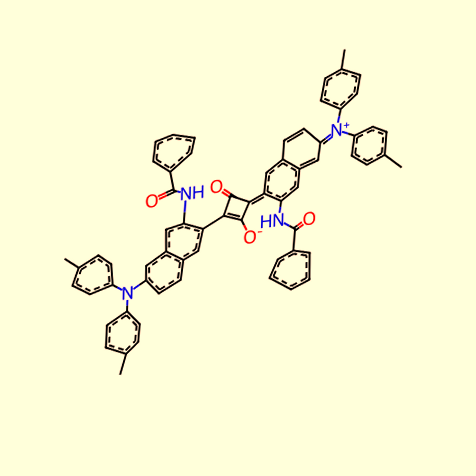 Cc1ccc(N(c2ccc(C)cc2)c2ccc3cc(C4=C([O-])/C(=c5/cc6c(cc5NC(=O)c5ccccc5)=CC(=[N+](c5ccc(C)cc5)c5ccc(C)cc5)C=C6)C4=O)c(NC(=O)c4ccccc4)cc3c2)cc1